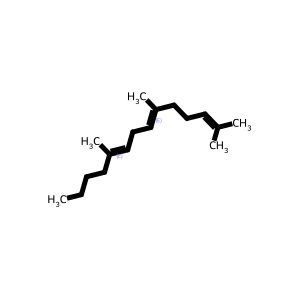 CCCC/C(C)=C/C/C=C(\C)CCC=C(C)C